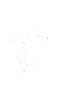 c1ccc(N(c2ccccc2)c2ccc(-n3c4ccccc4c4cc5cc6c7ccccc7n(-c7ccccc7)c6cc5cc43)cc2)cc1